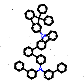 c1ccc(-c2cccc(N(c3cccc(-c4ccccc4)c3)c3cccc(-c4ccccc4-c4ccc5c6ccccc6n(-c6ccc7c(c6)C(c6ccccc6)(c6ccccc6)c6ccccc6-7)c5c4)c3)c2)cc1